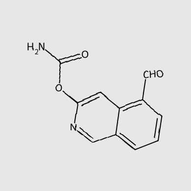 NC(=O)Oc1cc2c(C=O)cccc2cn1